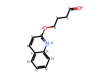 O=[C]CCCOc1ccc2ccccc2n1